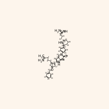 C[C@@H](N)CCCN1C[C@H](OCc2ccccc2)C[C@H]1c1cc2cn(-c3ccc([C@@H]4CCC[C@@H](CCSC(=N)N)N4)cc3)c(=O)nc2[nH]1